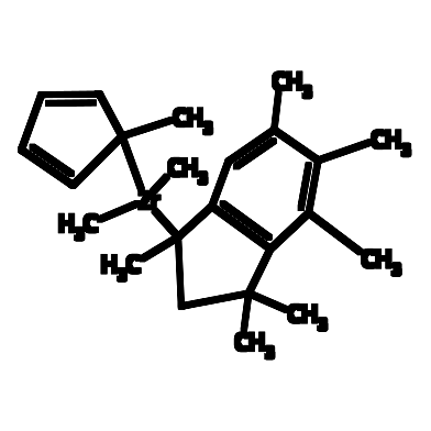 Cc1cc2c(c(C)c1C)C(C)(C)C[C]2(C)[Zr]([CH3])([CH3])[C]1(C)C=CC=C1